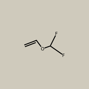 C=COC(F)F